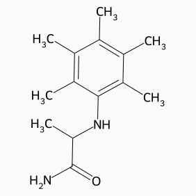 Cc1c(C)c(C)c(NC(C)C(N)=O)c(C)c1C